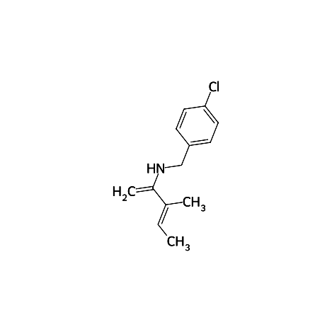 C=C(NCc1ccc(Cl)cc1)/C(C)=C/C